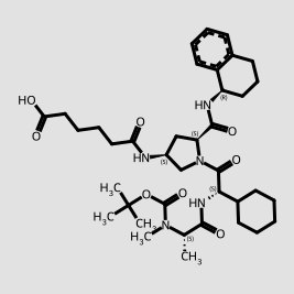 C[C@@H](C(=O)N[C@H](C(=O)N1C[C@@H](NC(=O)CCCCC(=O)O)C[C@H]1C(=O)N[C@@H]1CCCc2ccccc21)C1CCCCC1)N(C)C(=O)OC(C)(C)C